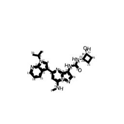 CNc1cc(-c2cn(C(C)C)c3ncccc23)nc2c(NC(=O)N[C@H]3CC[C@H]3O)cnn12